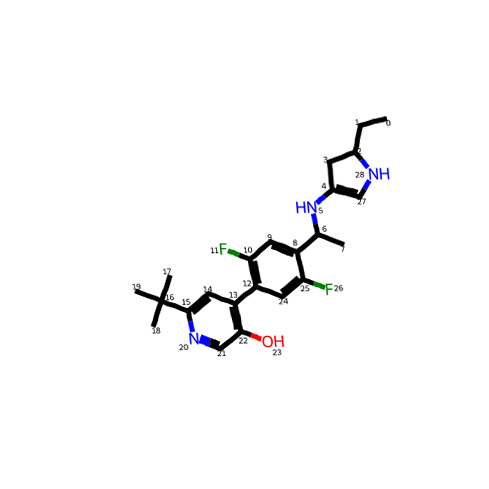 CCC1CC(NC(C)c2cc(F)c(-c3cc(C(C)(C)C)ncc3O)cc2F)=CN1